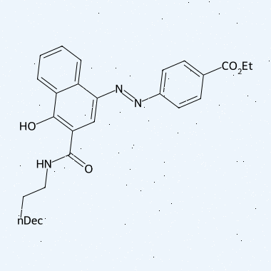 CCCCCCCCCCCCNC(=O)c1cc(N=Nc2ccc(C(=O)OCC)cc2)c2ccccc2c1O